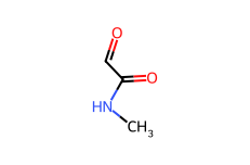 CNC(=O)C=O